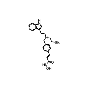 CC(C)(C)CCN(CCc1c[nH]c2ccccc12)Cc1ccc(/C=C/C(=O)NO)cc1